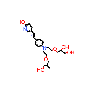 CC(CO)COCCN(CCOCC(O)CO)c1ccc(/C=C/c2ccc(O)nc2)cc1